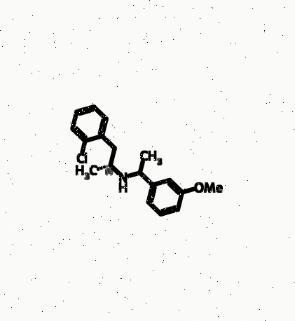 COc1cccc(C(C)N[C@H](C)Cc2ccccc2Cl)c1